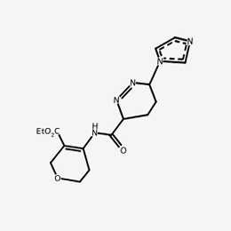 CCOC(=O)C1=C(NC(=O)C2CCC(n3ccnc3)N=N2)CCOC1